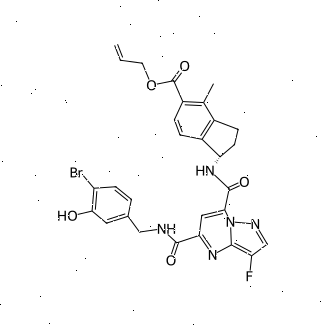 C=CCOC(=O)c1ccc2c(c1C)CC[C@@H]2NC(=O)c1cc(C(=O)NCc2ccc(Br)c(O)c2)nc2c(F)cnn12